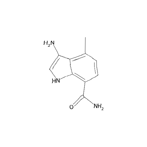 Cc1ccc(C(N)=O)c2[nH]cc(N)c12